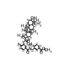 CCCC1(C(=O)NCc2cc(C(=O)NCc3cccc(C(=O)OC)c3)ccc2F)CC[C@]2(C)C(CCC3C4(C)CCC(O)C(C)(C)C4CCC32C)C1C